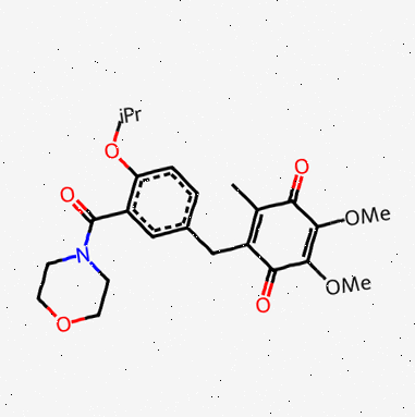 COC1=C(OC)C(=O)C(Cc2ccc(OC(C)C)c(C(=O)N3CCOCC3)c2)=C(C)C1=O